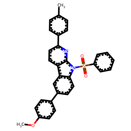 COc1ccc(-c2ccc3c(c2)c2ccc(-c4ccc(C)cc4)nc2n3S(=O)(=O)c2ccccc2)cc1